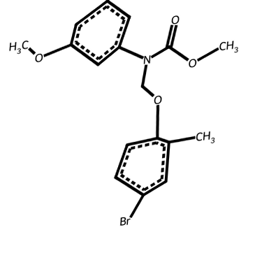 COC(=O)N(COc1ccc(Br)cc1C)c1cccc(OC)c1